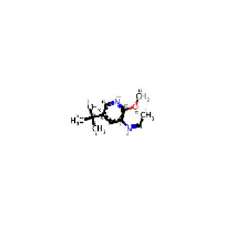 C/C=N\c1cc(C(C)(C)C)cnc1OC